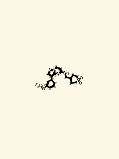 O=S1(=O)CCC(CNc2ccn3ncc(C4C=C(OC(F)(F)F)C=CC4)c3n2)CC1